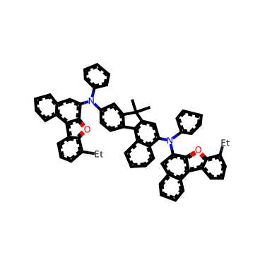 CCc1cccc2c1oc1c(N(c3ccccc3)c3ccc4c(c3)C(C)(C)c3cc(N(c5ccccc5)c5cc6ccccc6c6c5oc5c(CC)cccc56)c5ccccc5c3-4)cc3ccccc3c12